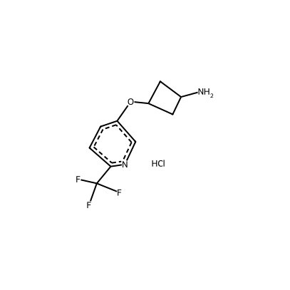 Cl.NC1CC(Oc2ccc(C(F)(F)F)nc2)C1